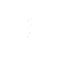 C=Cc1ccccc1/C(=C\C)CN=NC(=C)/C=C\C=C/C